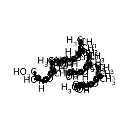 Cc1c(C)n(CCCN(C)C)c2ccc(Oc3ccc(C(=O)Nc4ccc(-c5nn[nH]n5)c(O)c4)cc3)cc12.Cc1c(C)n(CCCN(C)C)c2ccc(Oc3ccc(C(=O)Nc4ccc(I)c(O)c4)cc3)cc12.Cc1c(C)n(CCCN(C)C)c2ccc(Oc3ccc(C(=O)Nc4ccc(S(C)(=O)=O)c(O)c4)cc3)cc12.Cc1c(C)n(CCCN(C)C)c2ccc(Oc3ccc(Nc4ccc(CCC(=O)O)c(O)c4)cc3)cc12